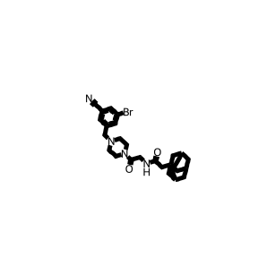 N#Cc1cc(Br)cc(CN2CCN(C(=O)CNC(=O)CC34CC5CC(CC(C5)C3)C4)CC2)c1